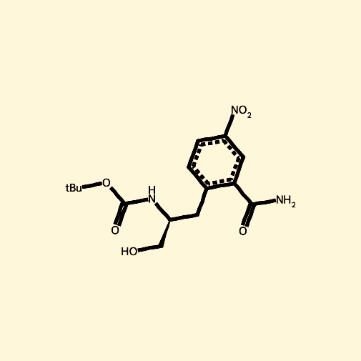 CC(C)(C)OC(=O)N[C@H](CO)Cc1ccc([N+](=O)[O-])cc1C(N)=O